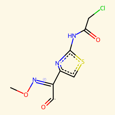 CO/N=C(\[C]=O)c1csc(NC(=O)CCl)n1